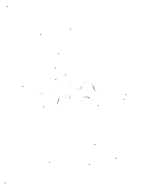 CC(C)(C)OC(=O)NC1(c2ccc(Br)cn2)CC1